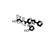 CC(C)(O)[C@H](F)CNC(=O)c1cnc2cc(-c3cccnc3)nn2c1N[C@H]1CCC[C@H]1O